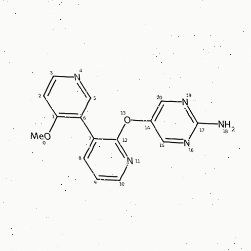 COc1ccncc1-c1cccnc1Oc1cnc(N)nc1